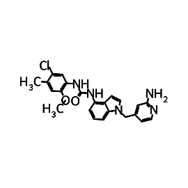 COc1cc(C)c(Cl)cc1NC(=O)Nc1cccc2c1ccn2Cc1ccnc(N)c1